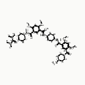 COc1cc(OC)c(C(=O)N[C@H]2CC[C@@H](NC(=O)c3cc(C(=O)N4CCC(N)CC4)c(OC)cc3OC)CC2)cc1C(=O)N[C@H]1CC[C@@H](N=C(N(C)C)N(C)C)CC1